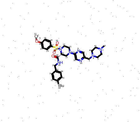 CN1CCN(Cc2cnc(N3CCN(S(=O)(=O)c4ccc(OC(F)(F)F)cc4)[C@@H](C(=O)NCc4ccc(C(C)(C)C)cc4)C3)cn2)CC1